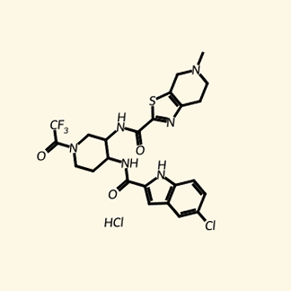 CN1CCc2nc(C(=O)NC3CN(C(=O)C(F)(F)F)CCC3NC(=O)c3cc4cc(Cl)ccc4[nH]3)sc2C1.Cl